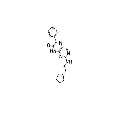 O=c1[nH]c2nc(NCCN3CCCC3)ncc2nc1-c1ccccc1